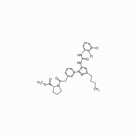 CCCCc1cc(NC(=O)Nc2cccc(Cl)c2Cl)n(-c2cccc(CC(=O)N3CCC[C@H]3C(=O)OC)c2)n1